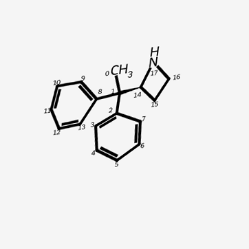 CC(c1ccccc1)(c1ccccc1)[C@@H]1CCN1